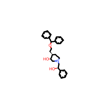 O[C@@H](CN1CC[C@H](CCOC(c2ccccc2)c2ccccc2)[C@@H](O)C1)c1ccccc1